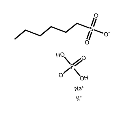 CCCCCCS(=O)(=O)[O-].O=P([O-])(O)O.[K+].[Na+]